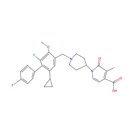 COc1c(CN2CCC(n3ccc(C(=O)O)c(C)c3=O)CC2)cc(C2CC2)c(-c2ccc(F)cc2)c1F